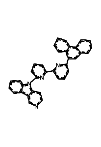 c1cc(-c2cccc(-n3c4ccccc4c4cnccc43)n2)nc(-c2cc3ccccc3c3ccccc23)c1